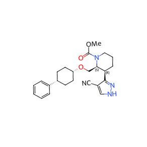 COC(=O)N1CCC[C@@H](c2n[nH]cc2C#N)[C@H]1CO[C@H]1CC[C@@H](c2ccccc2)CC1